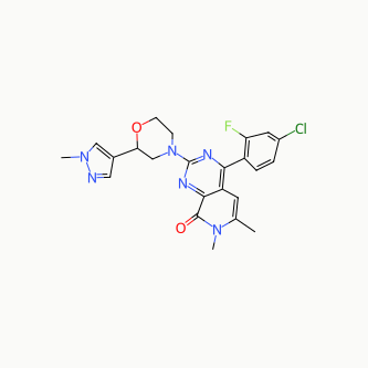 Cc1cc2c(-c3ccc(Cl)cc3F)nc(N3CCOC(c4cnn(C)c4)C3)nc2c(=O)n1C